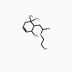 CC(=O)C(CC1C(C)C=CCC1(C)C)SCCO